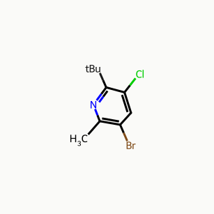 Cc1nc(C(C)(C)C)c(Cl)cc1Br